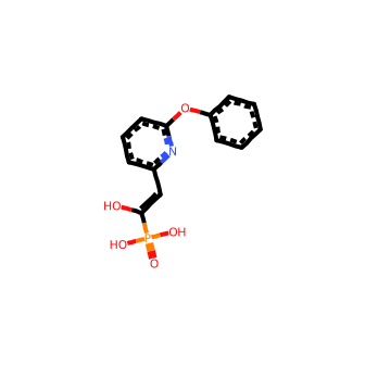 O=P(O)(O)/C(O)=C/c1cccc(Oc2ccccc2)n1